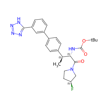 C[C@@H](c1ccc(-c2cccc(-c3nnn[nH]3)c2)cc1)[C@H](NC(=O)OC(C)(C)C)C(=O)N1CC[C@H](F)C1